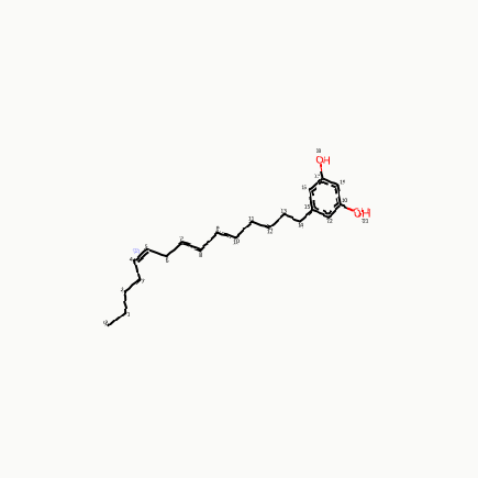 CCCC/C=C\CCCCCCCCCc1cc(O)cc(O)c1